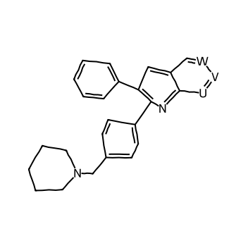 [CH]1=[W][V]=[U][c]2nc(-c3ccc(CN4CCCCC4)cc3)c(-c3ccccc3)cc21